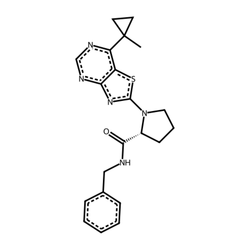 CC1(c2ncnc3nc(N4CCC[C@@H]4C(=O)NCc4ccccc4)sc23)CC1